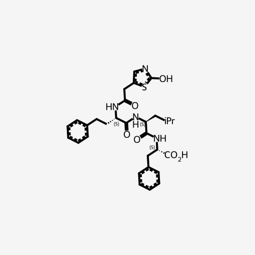 CC(C)C[C@H](NC(=O)[C@H](CCc1ccccc1)NC(=O)Cc1cnc(O)s1)C(=O)N[C@@H](Cc1ccccc1)C(=O)O